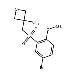 COc1ccc(Br)cc1S(=O)(=O)CC1(C)COC1